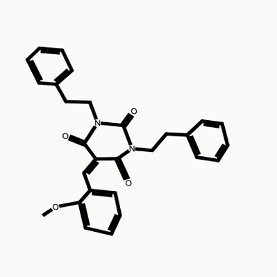 COc1ccccc1C=C1C(=O)N(CCc2ccccc2)C(=O)N(CCc2ccccc2)C1=O